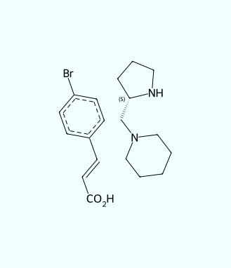 C1CCN(C[C@@H]2CCCN2)CC1.O=C(O)C=Cc1ccc(Br)cc1